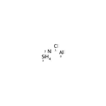 [Al].[C].[N].[SiH4]